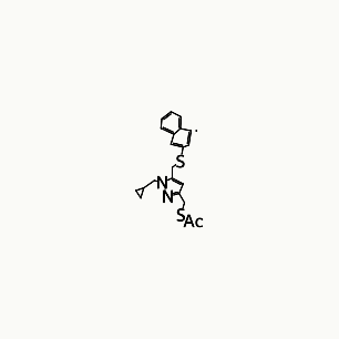 CC(=O)SCc1cc(CSc2c[c]c3ccccc3c2)n(CC2CC2)n1